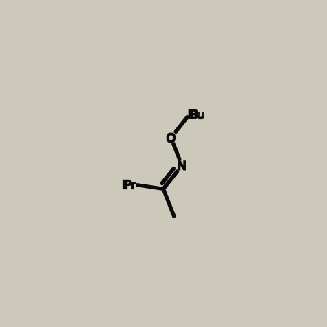 CCC(C)O/N=C(/C)C(C)C